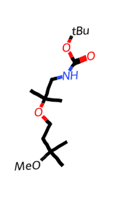 COC(C)(C)CCOC(C)(C)CNC(=O)OC(C)(C)C